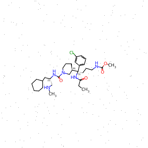 CCC(=O)N[C@](CCCNC(=O)OC)(c1cccc(Cl)c1)[C@@H]1CCCN(C(=O)N[C@H](CNC)CC2CCCCC2)C1